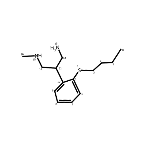 CCCCSc1ccccc1C(CN)CNC